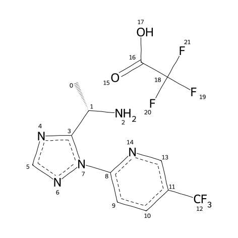 C[C@H](N)c1ncnn1-c1ccc(C(F)(F)F)cn1.O=C(O)C(F)(F)F